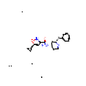 O=C(N[C@H]1CCN[C@@H](Cc2ccccc2)C1)c1cc(C2CC2)on1